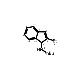 CCCCNC1C(CC)=Cc2ccccc21